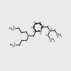 CCCCP(CCCC)Cc1cccc(CN(CC)CC)n1